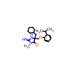 CC(C)C1C=CC=CC1OCC1(CC2CCCCC2)NC(=N)N(C)C1=O